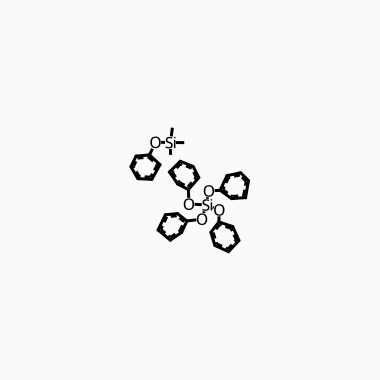 C[Si](C)(C)Oc1ccccc1.c1ccc(O[Si](Oc2ccccc2)(Oc2ccccc2)Oc2ccccc2)cc1